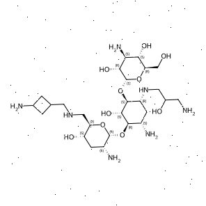 NCC(O)CN[C@@H]1C[C@H](N)[C@@H](O[C@H]2O[C@H](CNCC3CC(N)C3)[C@@H](O)C[C@H]2N)[C@H](O)[C@H]1O[C@H]1O[C@H](CO)[C@@H](O)[C@H](N)[C@H]1O